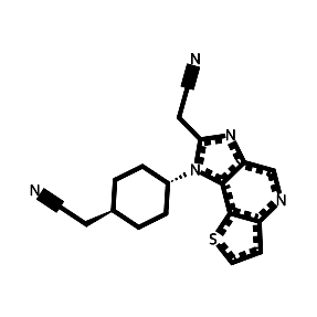 N#CCc1nc2cnc3ccsc3c2n1[C@H]1CC[C@H](CC#N)CC1